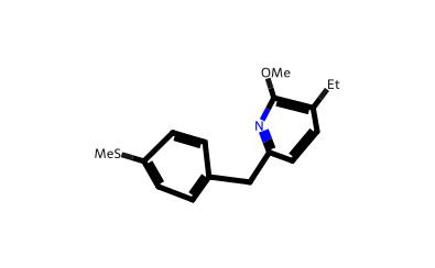 CCc1ccc(Cc2ccc(SC)cc2)nc1OC